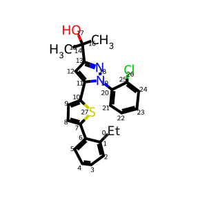 CCc1ccccc1-c1ccc(-c2cc(C(C)(C)O)nn2-c2ccccc2Cl)s1